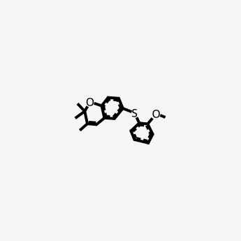 COc1ccccc1Sc1ccc2c(c1)C=C(C)C(C)(C)O2